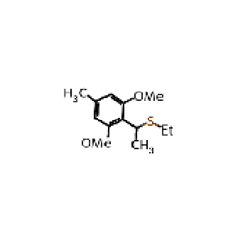 CCSC(C)c1c(OC)cc(C)cc1OC